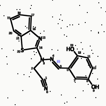 N#CCN(/N=C/c1cc(O)ccc1O)c1nc2ccccc2s1